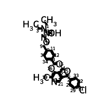 CCN(CC)/[N+](O)=N/OCc1ccc(C(=O)Oc2c(C)ncc3c2CO[C@H]3c2ccc(Cl)cc2)cc1